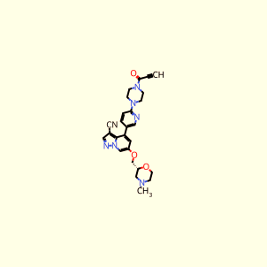 C#CC(=O)N1CCN(c2ccc(-c3cc(OC[C@H]4CN(C)CCO4)cn4ncc(C#N)c34)cn2)CC1